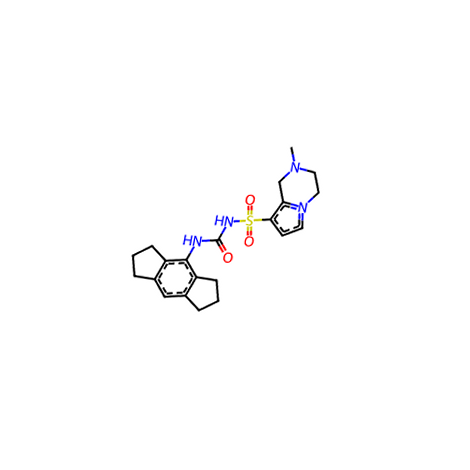 CN1CCn2ccc(S(=O)(=O)NC(=O)Nc3c4c(cc5c3CCC5)CCC4)c2C1